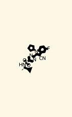 C[C@H](NS(=O)(=O)c1cnc(-c2c(C#N)c3cc(F)ccc3n2C2CCCC2)nc1)C1CC1